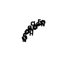 CN1CCN(Cc2ccc(C(=O)Nc3ccc(OCc4ncccc4F)c(Cl)c3)cc2)CC1